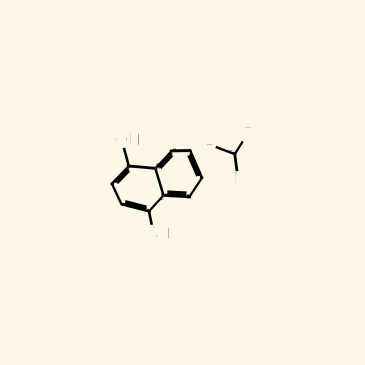 FC(F)F.Oc1ccc(S)c2ccccc12